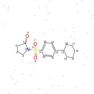 O=C1CCCN1S(=O)(=O)c1ccc(C2CCCCC2)cc1